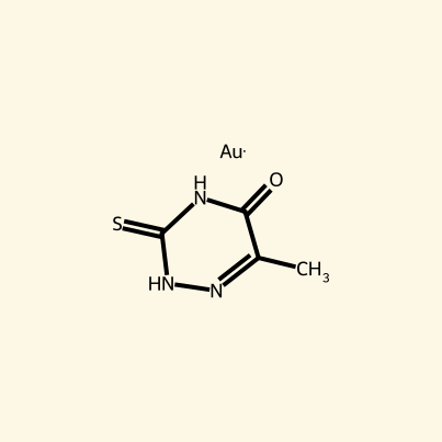 Cc1n[nH]c(=S)[nH]c1=O.[Au]